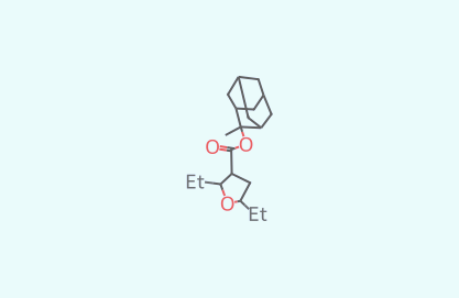 CCC1CC(C(=O)OC2(C)C3CC4CC(C3)CC2C4)C(CC)O1